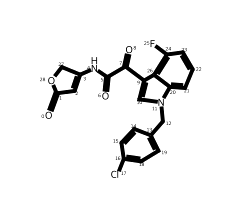 O=C1C=C(NC(=O)C(=O)c2cn(Cc3ccc(Cl)cc3)c3cccc(F)c23)CO1